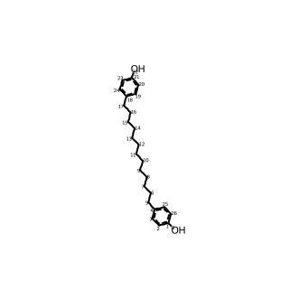 Oc1ccc(CCCCCCCCCCCCCc2ccc(O)cc2)cc1